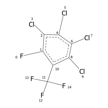 Fc1c(Cl)c(Cl)c(Cl)c(Cl)c1C(F)(F)F